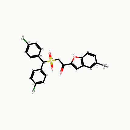 O=C(CS(=O)(=O)C(c1ccc(Cl)cc1)c1ccc(Cl)cc1)c1cc2cc([N+](=O)[O-])ccc2o1